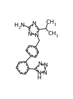 CC(C)c1nc(N)nn1Cc1ccc(-c2ccccc2-c2nnn[nH]2)cc1